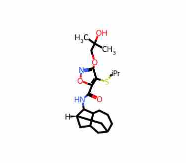 CC(C)Sc1c(OCC(C)(C)O)noc1C(=O)NC1C2CCCC3CC2C[C@H]1C3